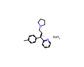 Cc1ccc(/C(=C\CN2CCCC2)c2ccccn2)cc1.[AsH3]